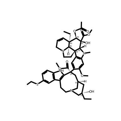 CCSc1ccc2[nH]c3c(c2c1)CCN1C[C@H](C[C@@](O)(CC)C1)C[C@]3(C(=O)OC)c1cc2c(cc1OC)N(C)[C@H]1[C@@](O)(C(=O)OC)[C@H](OC(C)=O)[C@]3(CC)C=CCN4CC[C@]21[C@@H]43